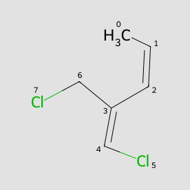 C/C=C\C(=C/Cl)CCl